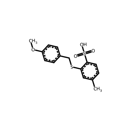 COc1ccc(CSc2cc(C)ccc2S(=O)(=O)O)cc1